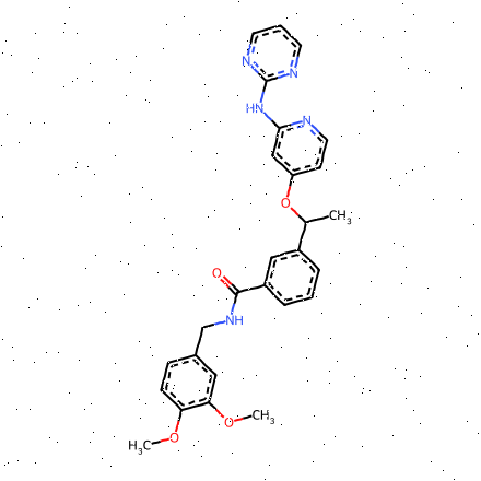 COc1ccc(CNC(=O)c2cccc(C(C)Oc3ccnc(Nc4ncccn4)c3)c2)cc1OC